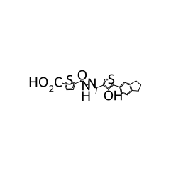 C/C(=N\NC(=O)c1ccc(C(=O)O)s1)c1csc(-c2ccc3c(c2)CCC3)c1O